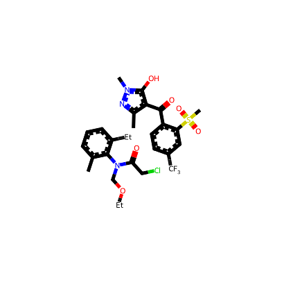 CCOCN(C(=O)CCl)c1c(C)cccc1CC.Cc1nn(C)c(O)c1C(=O)c1ccc(C(F)(F)F)cc1S(C)(=O)=O